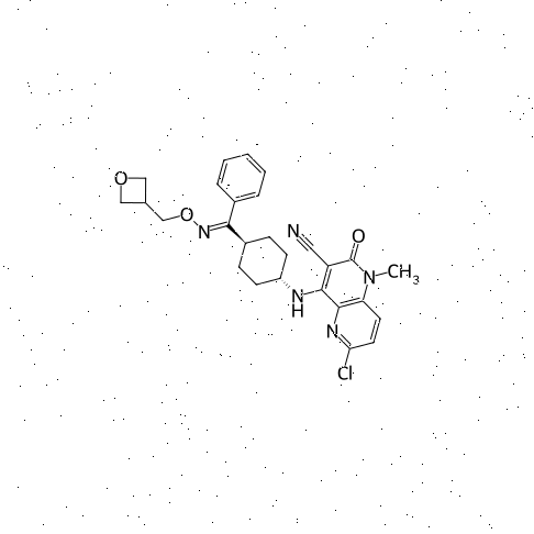 Cn1c(=O)c(C#N)c(N[C@H]2CC[C@H](/C(=N/OCC3COC3)c3ccccc3)CC2)c2nc(Cl)ccc21